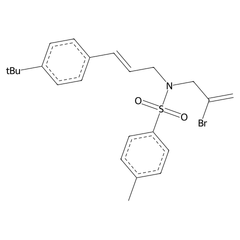 C=C(Br)CN(C/C=C/c1ccc(C(C)(C)C)cc1)S(=O)(=O)c1ccc(C)cc1